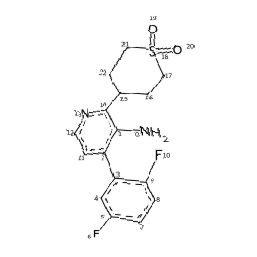 Nc1c(-c2cc(F)ccc2F)ccnc1C1CCS(=O)(=O)CC1